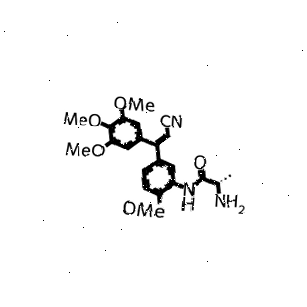 COc1ccc(C(=CC#N)c2cc(OC)c(OC)c(OC)c2)cc1NC(=O)[C@H](C)N